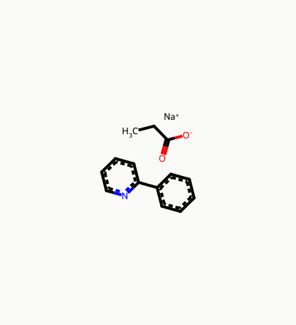 CCC(=O)[O-].[Na+].c1ccc(-c2ccccn2)cc1